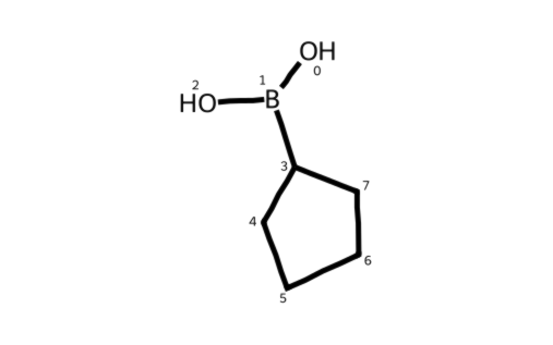 OB(O)C1CCCC1